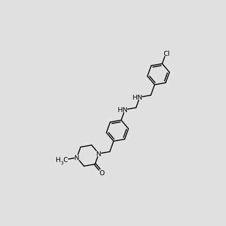 CN1CCN(Cc2ccc(NCNCc3ccc(Cl)cc3)cc2)C(=O)C1